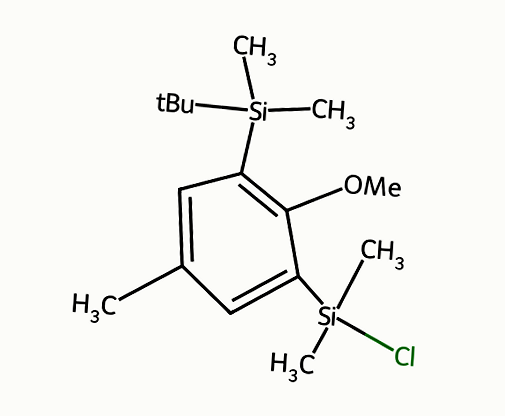 COc1c([Si](C)(C)Cl)cc(C)cc1[Si](C)(C)C(C)(C)C